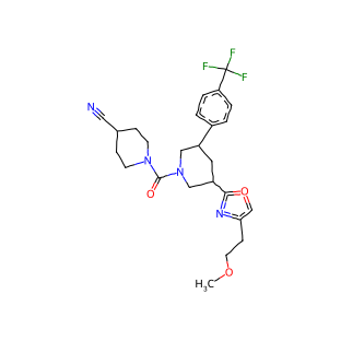 COCCc1coc(C2CC(c3ccc(C(F)(F)F)cc3)CN(C(=O)N3CCC(C#N)CC3)C2)n1